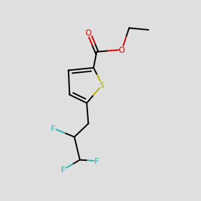 CCOC(=O)c1ccc(CC(F)C(F)F)s1